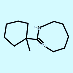 CC1(/C2=N/CCCCCN2)CCCCC1